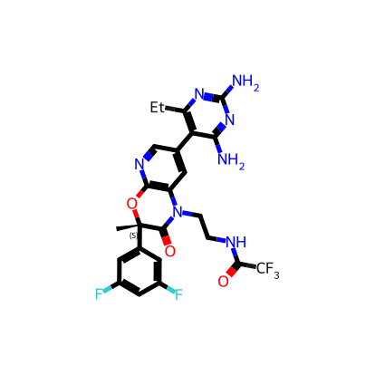 CCc1nc(N)nc(N)c1-c1cnc2c(c1)N(CCNC(=O)C(F)(F)F)C(=O)[C@](C)(c1cc(F)cc(F)c1)O2